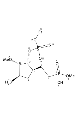 B[C@@H]1C[C@H](CCP(=O)(O)OC)[C@@H](OP(O)(=S)OCC)[C@H]1OC